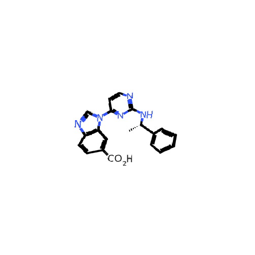 C[C@H](Nc1nccc(-n2cnc3ccc(C(=O)O)cc32)n1)c1ccccc1